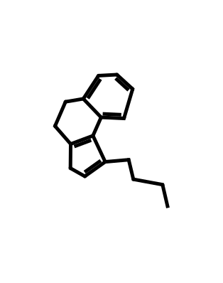 CCCCC1=CCC2=C1c1ccccc1CC2